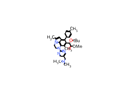 COC(=O)[C@@H](OC(C)(C)C)c1c(C)c2c3c(cc(C)n3CCN2c2ncc(CN(C)C)cn2)c1-c1ccc(C)cc1